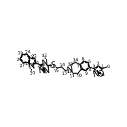 Cc1cc(-c2ccc3c(c2)CCN(CCCSc2nnc(-c4cc5ccccc5n4C)n2C)CC3)no1